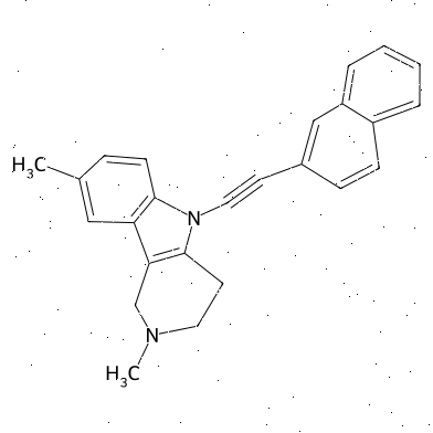 Cc1ccc2c(c1)c1c(n2C#Cc2ccc3ccccc3c2)CCN(C)C1